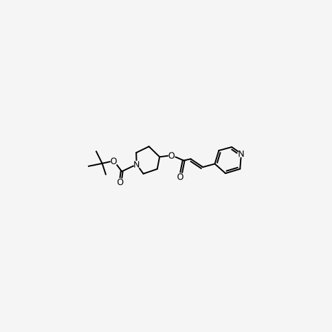 CC(C)(C)OC(=O)N1CCC(OC(=O)C=Cc2ccncc2)CC1